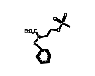 CCOC(=O)N(CCOS(C)(=O)=O)Sc1ccccc1